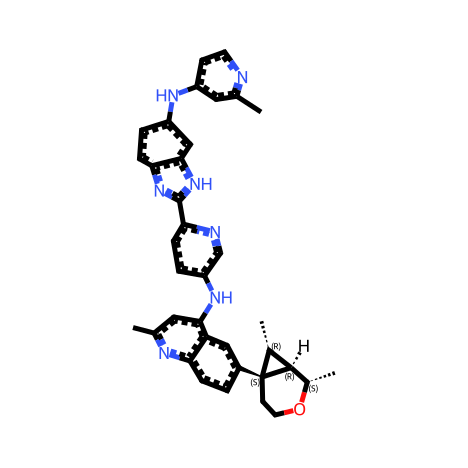 Cc1cc(Nc2ccc3nc(-c4ccc(Nc5cc(C)nc6ccc([C@]78CCO[C@@H](C)[C@@H]7[C@H]8C)cc56)cn4)[nH]c3c2)ccn1